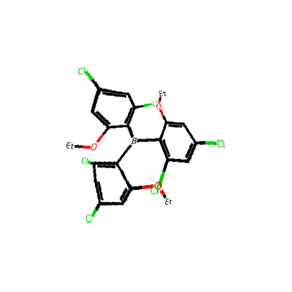 CCOc1cc(Cl)cc(Cl)c1B(c1c(Cl)cc(Cl)cc1OCC)c1c(Cl)cc(Cl)cc1OCC